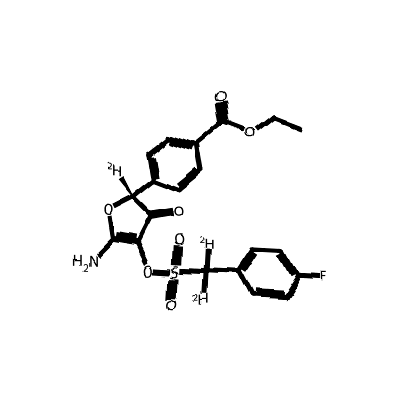 [2H]C([2H])(c1ccc(F)cc1)S(=O)(=O)OC1=C(N)O[C@]([2H])(c2ccc(C(=O)OCC)cc2)C1=O